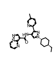 CC[C@H]1CC[C@H](n2cc(NC(=O)c3cnn4cccnc34)c(-c3ccc(C)cn3)n2)CC1